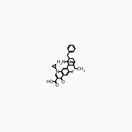 CCC1C2CCC(N)(C(Cc3ccccc3)C2)N1c1cc2c(cc1F)c(=O)c(C(=O)O)cn2C1CC1